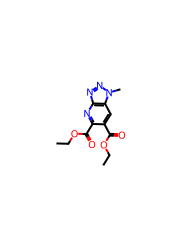 CCOC(=O)c1cc2c(nnn2C)nc1C(=O)OCC